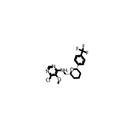 COc1c(Cl)ncnc1NC[C@H]1CCC[C@@H](c2ccc(C(F)(F)F)cc2)O1